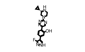 Oc1cc(-c2c[nH]nc2F)ccc1-c1cnc(N2CCN[C@@H](C3CC3)C2)nn1